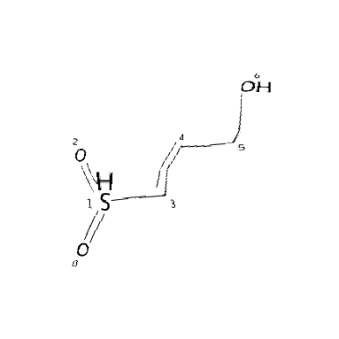 O=[SH](=O)C=CCO